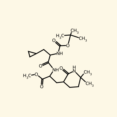 COC(=O)C(CC1CCC(C)(C)NC1=O)NC(=O)C(CC1CC1)NC(=O)OC(C)(C)C